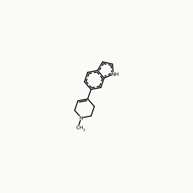 CN1CC=C(c2ccc3cc[nH]c3c2)CC1